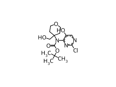 CC(C)(C)OC(=O)N(c1nc(Cl)ncc1O)C1(CO)CCOCC1